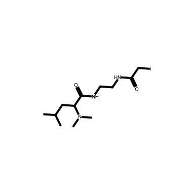 CC(C)CC(C(=O)NCCNC(=O)CI)N(C)C